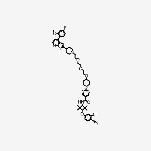 COc1cc(F)ccc1-c1ccnc2[nH]c(C3CCN(CCOCCOCCOC4CCN(c5ncc(C(=O)N[C@H]6C(C)(C)[C@H](Oc7ccc(C#N)c(Cl)c7)C6(C)C)cn5)CC4)CC3)cc12